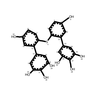 Oc1ccc(Sc2ccc(O)cc2-c2cc(O)c(O)c(O)c2)c(-c2cc(O)c(O)c(O)c2)c1